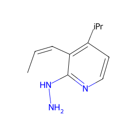 C/C=C\c1c(C(C)C)ccnc1NN